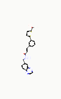 O=C(C=Cc1cccc(-c2ccc(C(=O)C(F)(F)F)s2)c1)NCc1ccc2nccnc2c1